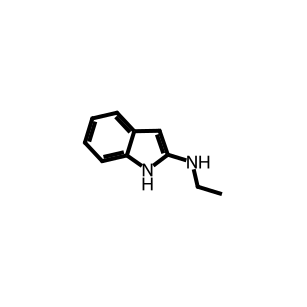 CCNc1cc2ccccc2[nH]1